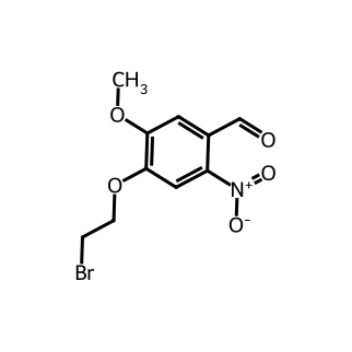 COc1cc(C=O)c([N+](=O)[O-])cc1OCCBr